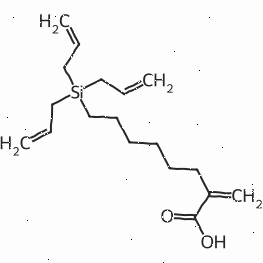 C=CC[Si](CC=C)(CC=C)CCCCCCC(=C)C(=O)O